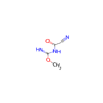 COC(=N)NC(=O)C#N